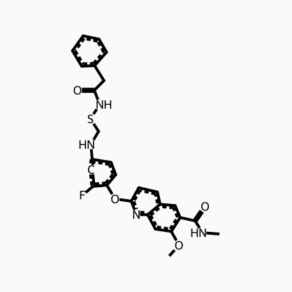 CNC(=O)c1cc2ccc(Oc3ccc(NCSNC(=O)Cc4ccccc4)cc3F)nc2cc1OC